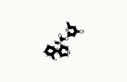 Cc1cc(Cl)cc(OC(=O)N(C)c2cnccc2-c2ccccc2C)n1